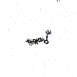 C=N/C=C(/C#Cc1ccccc1CN1CCN(c2ccc(C(=O)OC(C)(C)C)nn2)CC1)CC